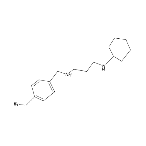 CC(C)Cc1ccc(CNCCCNC2CCCCC2)cc1